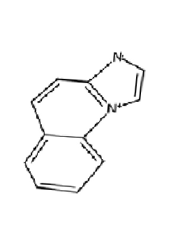 C1=C[n+]2c(ccc3ccccc32)[N]1